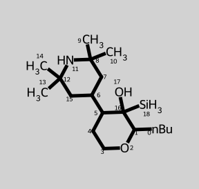 CCCCC1OCCC(C2CC(C)(C)NC(C)(C)C2)C1(O)[SiH3]